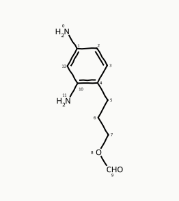 Nc1ccc(CCCOC=O)c(N)c1